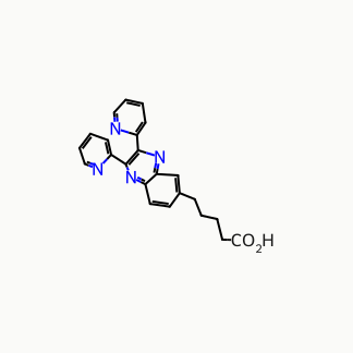 O=C(O)CCCCc1ccc2nc(-c3ccccn3)c(-c3ccccn3)nc2c1